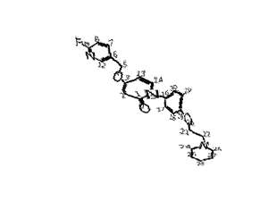 O=c1cc(OCc2ccc(F)nc2)ccn1-c1ccc(OCCN2CCCCC2)cc1